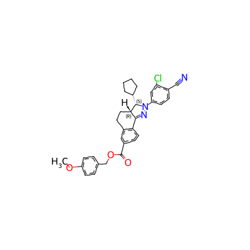 COc1ccc(COC(=O)c2ccc3c(c2)CC[C@H]2C3=NN(c3ccc(C#N)c(Cl)c3)[C@H]2C2CCCC2)cc1